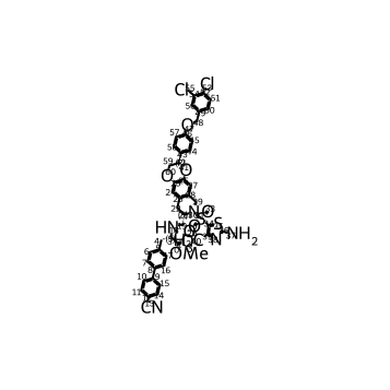 COC(=O)[C@H](Cc1ccc(-c2ccc(C#N)cc2)cc1)NC(=O)[C@@H]1Cc2cc3c(cc2CN1S(=O)(=O)c1sc(N)nc1C)O[C@H](c1ccc(OCc2ccc(Cl)c(Cl)c2)cc1)CO3